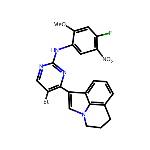 CCc1cnc(Nc2cc([N+](=O)[O-])c(F)cc2OC)nc1-c1cn2c3c(cccc13)CCC2